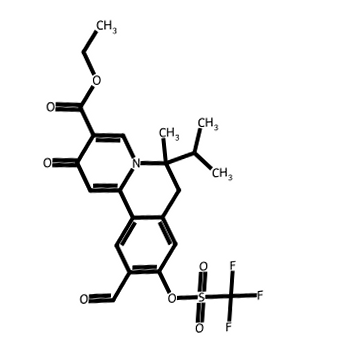 CCOC(=O)c1cn2c(cc1=O)-c1cc(C=O)c(OS(=O)(=O)C(F)(F)F)cc1CC2(C)C(C)C